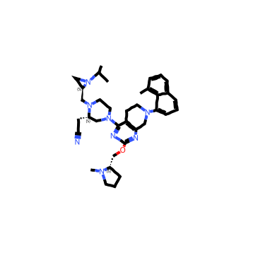 Cc1cccc2cccc(N3CCc4c(nc(OC[C@@H]5CCCN5C)nc4N4CCN(C[C@H]5CN5C(C)C)[C@@H](CC#N)C4)C3)c12